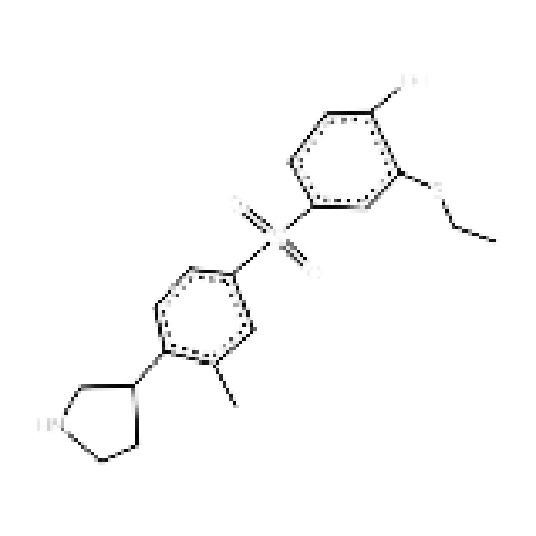 CCSc1cc(S(=O)(=O)c2ccc(C3CCNC3)c(C)c2)ccc1O